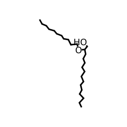 CCCCCCCCCCCCCC(CO)OCCCCCCCCCCC